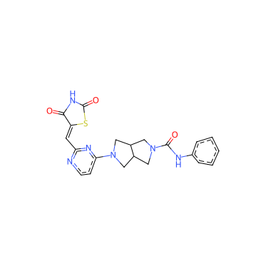 O=C1NC(=O)C(=Cc2nccc(N3CC4CN(C(=O)Nc5ccccc5)CC4C3)n2)S1